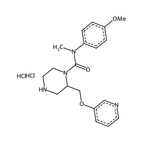 COc1ccc(N(C)C(=O)N2CCNCC2COc2cccnc2)cc1.Cl.Cl